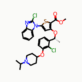 COC(=O)c1sc(-n2c(Cl)nc3ccccc32)cc1O[C@H](C)c1cccc(OC2CCN(C(C)C)CC2)c1Cl